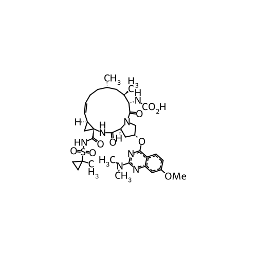 COc1ccc2c(O[C@@H]3C[C@H]4C(=O)N[C@]5(C(=O)NS(=O)(=O)C6(C)CC6)C[C@H]5/C=C\CC[C@H](C)C[C@@H](C)[C@H](NC(=O)O)C(=O)N4C3)nc(N(C)C)nc2c1